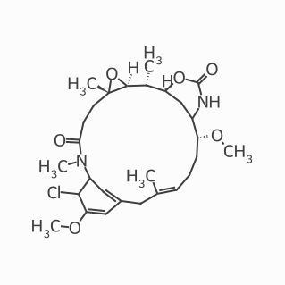 COC1=CC2=CC(C1Cl)N(C)C(=O)CC[C@]1(C)O[C@H]1[C@H](C)[C@@H]1CC(NC(=O)O1)[C@H](OC)CC/C=C(\C)C2